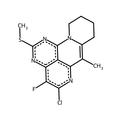 CSc1nc2c3c(nc(Cl)c(F)c3n1)C(C)=C1CCCCN12